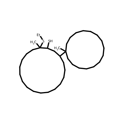 CCSC1(C)CCCCCCCCCCCCCCCC(C2(C)CCCCCCCCCCCCCCC2)CC1S